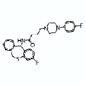 O=C(CCCN1CCN(c2ccc(F)cc2)CC1)NC1c2ccccc2CSc2cc(F)ccc21